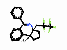 C[C@]12CCC[C@@]1(CC(F)(F)C(F)(F)F)N=C(c1ccccc1)c1ccccc12